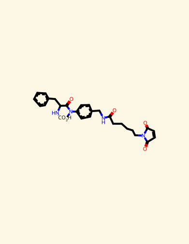 CN(C(=O)C(Cc1ccccc1)NC(=O)O)c1ccc(CNC(=O)CCCCCN2C(=O)C=CC2=O)cc1